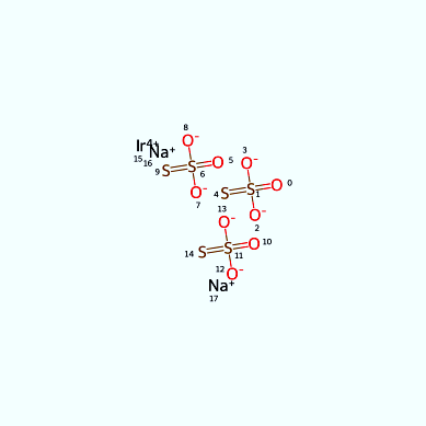 O=S([O-])([O-])=S.O=S([O-])([O-])=S.O=S([O-])([O-])=S.[Ir+4].[Na+].[Na+]